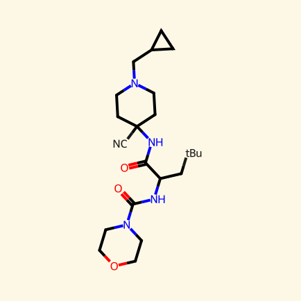 CC(C)(C)CC(NC(=O)N1CCOCC1)C(=O)NC1(C#N)CCN(CC2CC2)CC1